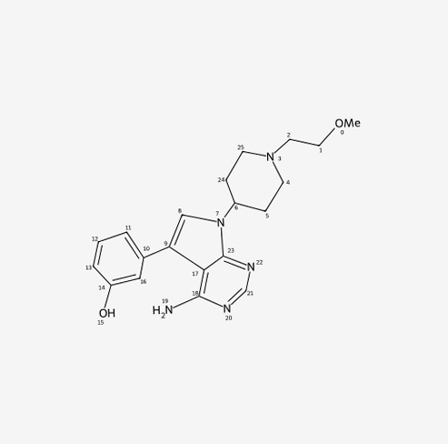 COCCN1CCC(n2cc(-c3cccc(O)c3)c3c(N)ncnc32)CC1